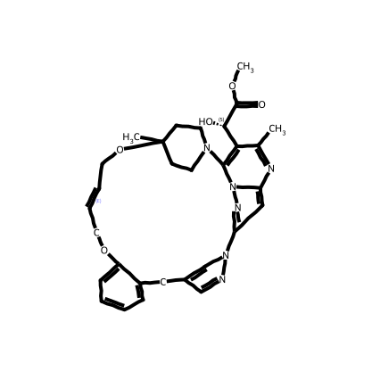 COC(=O)[C@@H](O)c1c(C)nc2cc3nn2c1N1CCC(C)(CC1)OC/C=C/COc1ccccc1Cc1cnn-3c1